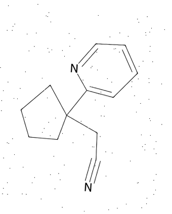 N#CCC1(c2ccccn2)CCCC1